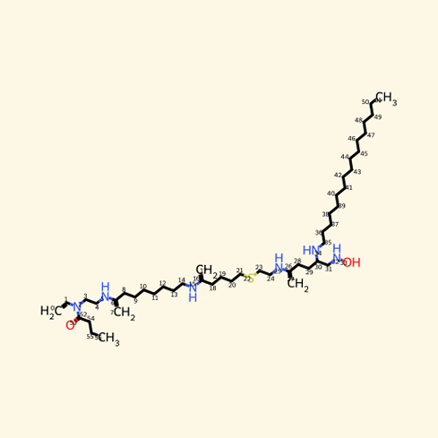 C=CN(CCNC(=C)CCCCCCCNC(=C)CCCCSCCNC(=C)CCC(CNO)NCCCCCCCCCCCCCCCCC)C(=O)CCC